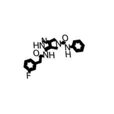 O=C(Cc1cccc(F)c1)Nc1[nH]nc2c1CN(C(=O)Nc1ccccc1)C2